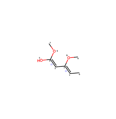 C/C=C(/C=C(/O)OC)OC